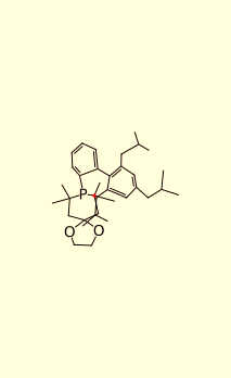 CC(C)Cc1cc(CC(C)C)c(-c2ccccc2P2C(C)(C)CC3(CC2(C)C)OCCO3)c(CC(C)C)c1